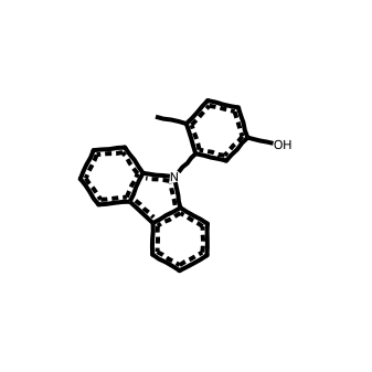 Cc1ccc(O)cc1-n1c2ccccc2c2ccccc21